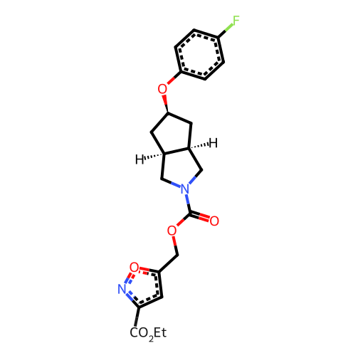 CCOC(=O)c1cc(COC(=O)N2C[C@H]3C[C@@H](Oc4ccc(F)cc4)C[C@H]3C2)on1